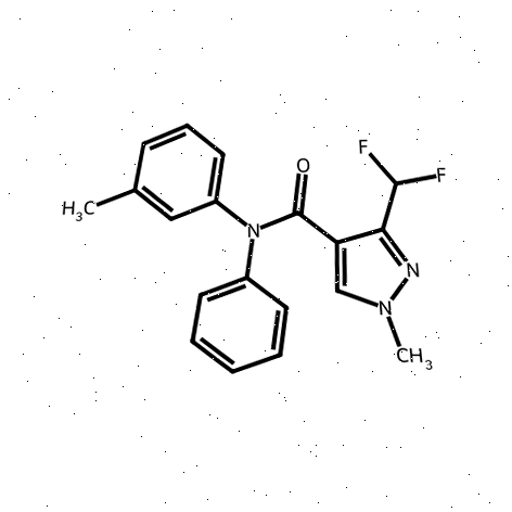 Cc1cccc(N(C(=O)c2cn(C)nc2C(F)F)c2ccccc2)c1